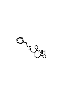 O=C1CCC(CSCCc2ccccc2)C(=O)N1